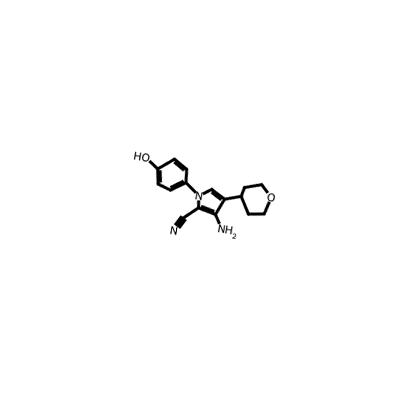 N#Cc1c(N)c(C2CCOCC2)cn1-c1ccc(O)cc1